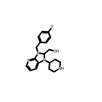 OCC1N(Cc2ccc(F)cc2)c2ncccc2N1C1CCNCC1